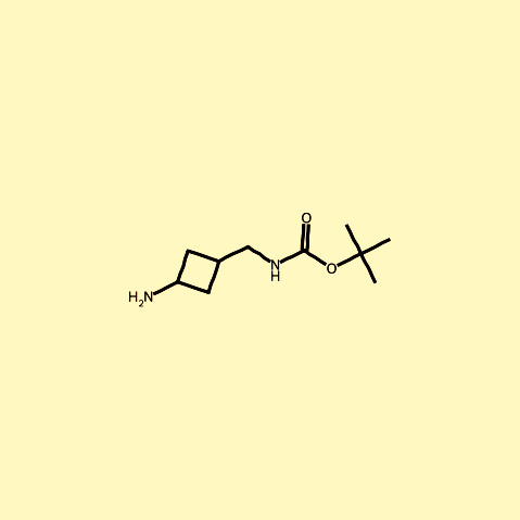 CC(C)(C)OC(=O)NCC1CC(N)C1